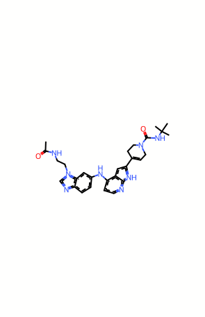 CC(=O)NCCn1cnc2ccc(Nc3ccnc4[nH]c(C5=CCN(C(=O)NC(C)(C)C)CC5)cc34)cc21